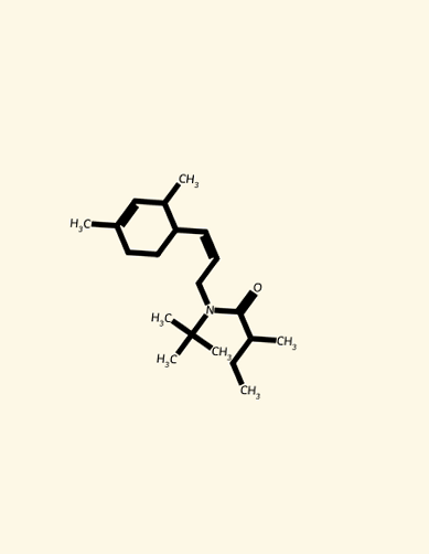 CCC(C)C(=O)N(C/C=C\C1CCC(C)=CC1C)C(C)(C)C